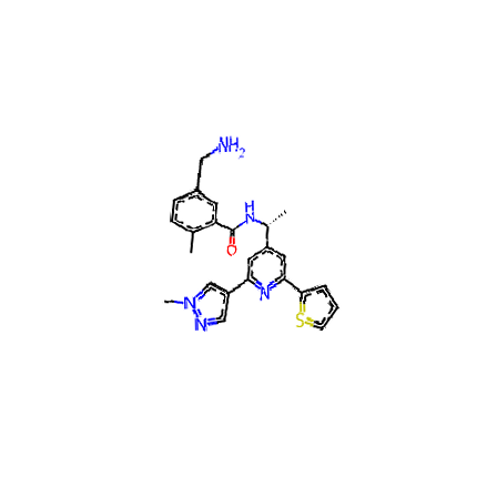 Cc1ccc(CN)cc1C(=O)N[C@H](C)c1cc(-c2cnn(C)c2)nc(-c2cccs2)c1